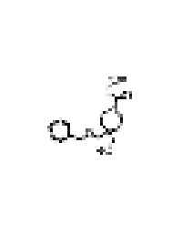 CC(C)(C)OC(=O)N1CCC(CC#N)(COCc2ccccc2)CC1